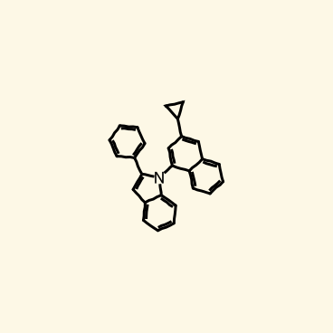 c1ccc(-c2cc3ccccc3n2-c2cc(C3CC3)cc3ccccc23)cc1